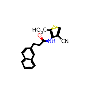 N#Cc1csc(C(=O)O)c1NC(=O)CCc1ccc2ccccc2c1